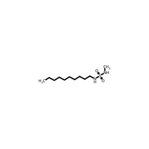 CCCCCCCCCCNS(=O)(=O)NC